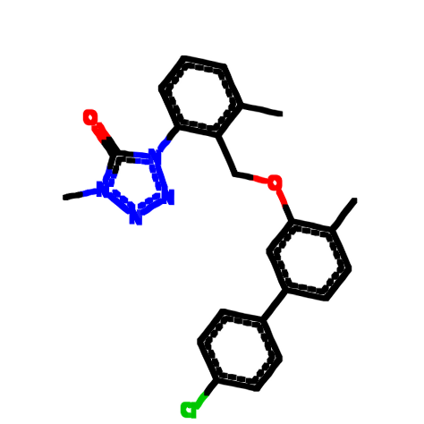 Cc1ccc(-c2ccc(Cl)cc2)cc1OCc1c(C)cccc1-n1nnn(C)c1=O